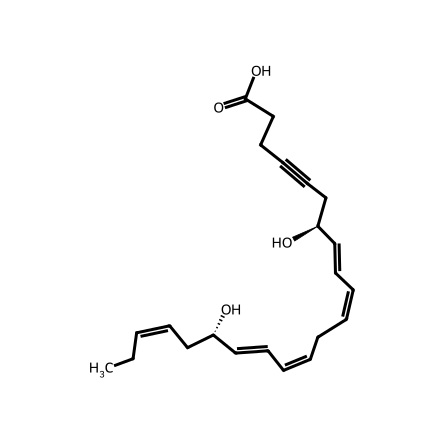 CC/C=C\C[C@H](O)/C=C/C=C\C/C=C\C=C\[C@@H](O)CC#CCCC(=O)O